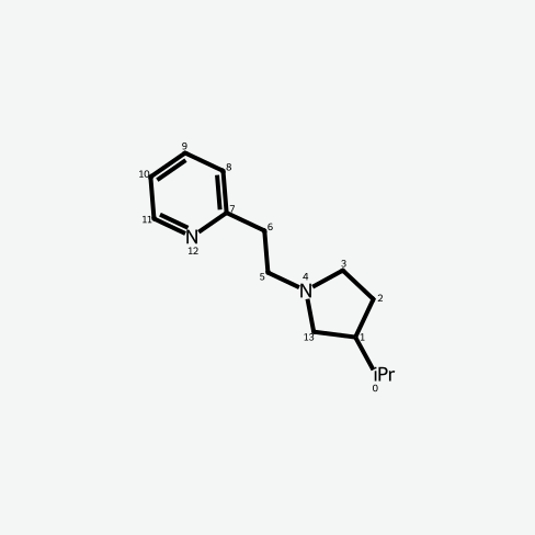 CC(C)C1CCN(CCc2ccccn2)C1